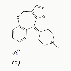 CN1CCC(=C2c3cc(/C=C/C(=O)O)ccc3OCc3ccsc32)CC1